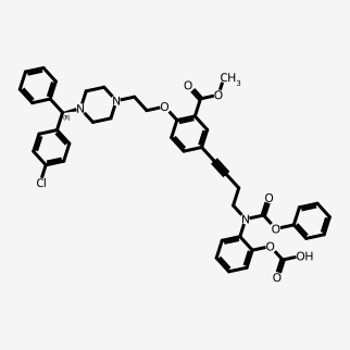 COC(=O)c1cc(C#CCCN(C(=O)Oc2ccccc2)c2ccccc2OC(=O)O)ccc1OCCN1CCN([C@H](c2ccccc2)c2ccc(Cl)cc2)CC1